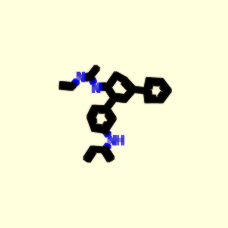 C=C/N=C(C)\N=C1/CC=C(c2ccccc2)C=C1c1cccc(NC(=C)C=C)c1